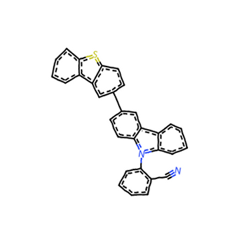 N#Cc1ccccc1-n1c2ccccc2c2cc(-c3ccc4sc5ccccc5c4c3)ccc21